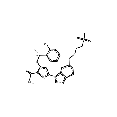 C[C@@H](Oc1cc(-n2cnc3ccc(CNCCS(C)(=O)=O)cc32)sc1C(N)=O)c1ccccc1Cl